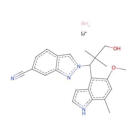 COc1cc(C)c2[nH]ccc2c1C(n1cc2ccc(C#N)cc2n1)C(C)(C)CO.[BH4-].[Li+]